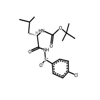 CC(C)C[C@H](NC(=O)OC(C)(C)C)C(=O)N[S+]([O-])c1ccc(Cl)cc1